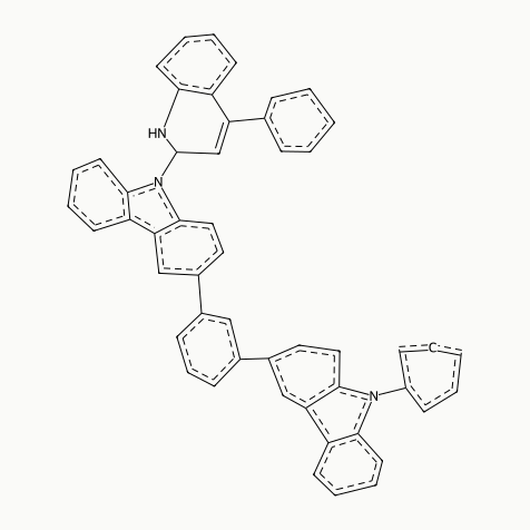 C1=C(c2ccccc2)c2ccccc2NC1n1c2ccccc2c2cc(-c3cccc(-c4ccc5c(c4)c4ccccc4n5-c4ccccc4)c3)ccc21